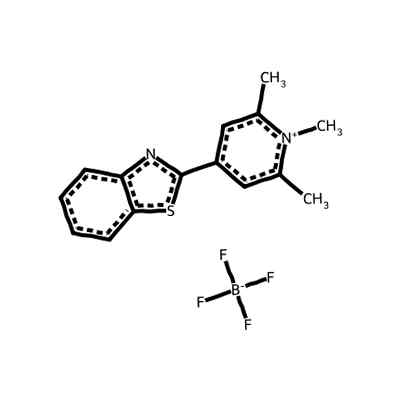 Cc1cc(-c2nc3ccccc3s2)cc(C)[n+]1C.F[B-](F)(F)F